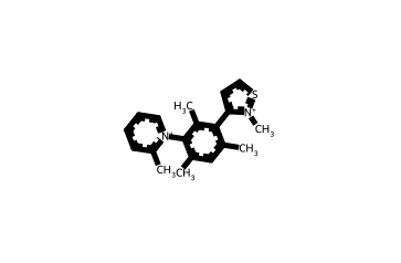 Cc1cc(C)c(-[n+]2ccccc2C)c(C)c1-c1ccs[n+]1C